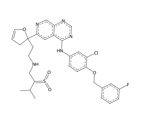 CC(C)C(CNCCC1(c2cc3c(Nc4ccc(OCc5cccc(F)c5)c(Cl)c4)ncnc3cn2)CC=CO1)=S(=O)=O